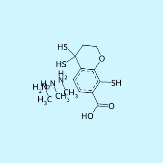 CN.CN.CN.O=C(O)c1ccc2c(c1S)OCCC2(S)S